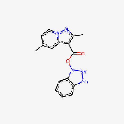 Cc1ccn2nc(C)c(C(=O)ON3NNc4ccccc43)c2c1